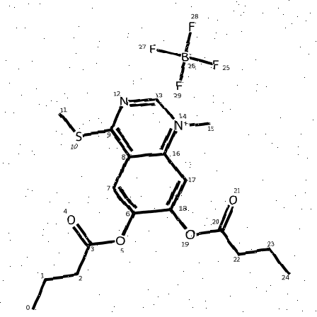 CCCC(=O)Oc1cc2c(SC)nc[n+](C)c2cc1OC(=O)CCC.F[B-](F)(F)F